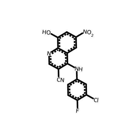 N#Cc1cnc2c(O)cc([N+](=O)[O-])cc2c1Nc1ccc(F)c(Cl)c1